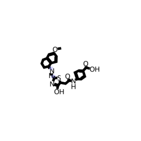 COc1ccc2c(c1)CCC/C2=N\N=C1\N=C(O)C(CC(=O)Nc2ccc(C(=O)O)cc2)S1